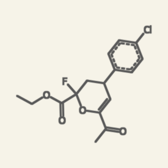 CCOC(=O)C1(F)CC(c2ccc(Cl)cc2)C=C(C(C)=O)O1